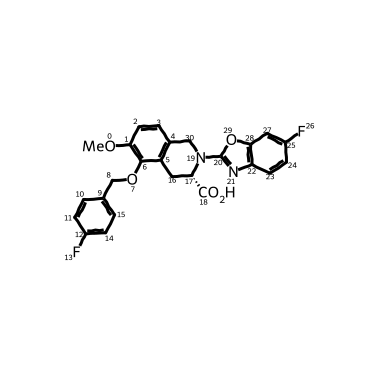 COc1ccc2c(c1OCc1ccc(F)cc1)C[C@@H](C(=O)O)N(c1nc3ccc(F)cc3o1)C2